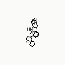 c1ccc([C@]2(CCN[C@@H]3CCn4nccc43)CCOC3(CCCC3)C2)nc1